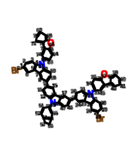 Brc1ccc2c(c1)c1cc(-c3ccc4c(c3)c3cc(-c5ccc6c(c5)c5cc(Br)ccc5n6-c5ccc6oc7ccccc7c6c5)ccc3n4-c3ccc4c(c3)CC4)ccc1n2-c1ccc2oc3ccccc3c2c1